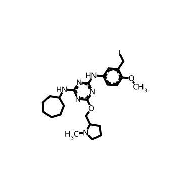 COc1ccc(Nc2nc(NC3CCCCCC3)nc(OCC3CCCN3C)n2)cc1CI